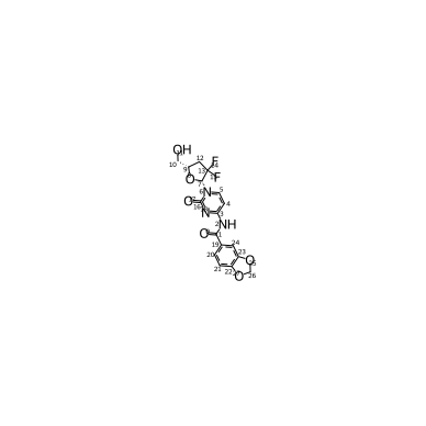 O=C(Nc1ccn([C@@H]2O[C@H](CO)CC2(F)F)c(=O)n1)c1ccc2c(c1)OCO2